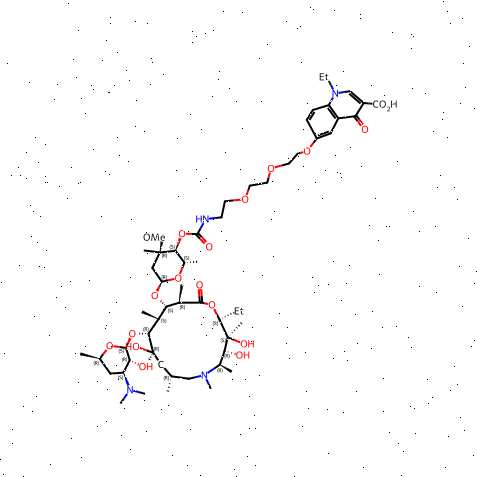 CC[C@H]1OC(=O)[C@H](C)[C@@H](O[C@H]2C[C@@](C)(OC)[C@@H](OC(=O)NCCOCCOCCOc3ccc4c(c3)c(=O)c(C(=O)O)cn4CC)[C@H](C)O2)[C@H](C)[C@@H](O[C@@H]2O[C@H](C)C[C@H](N(C)C)[C@H]2O)[C@](C)(O)C[C@@H](C)CN(C)[C@H](C)[C@@H](O)[C@]1(C)O